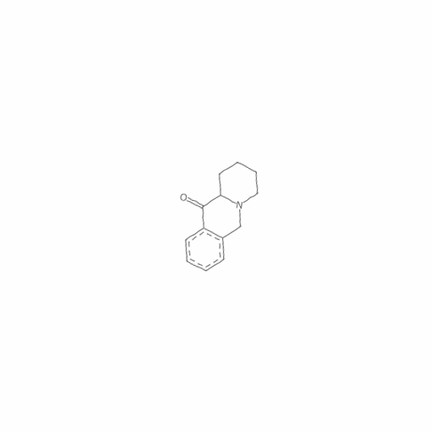 O=C1c2ccccc2CN2CCCCC12